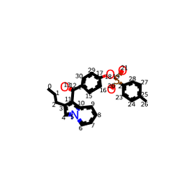 CCCc1cn2ccccc2c1C(=O)c1ccc(OS(=O)(=O)c2ccc(C)cc2)cc1